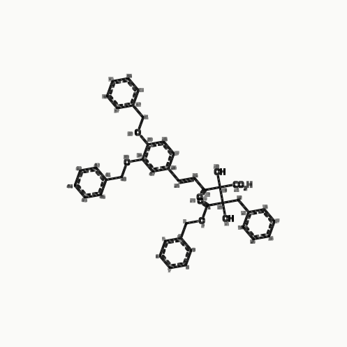 O=C(OCc1ccccc1)C(O)(Cc1ccccc1)C(O)(C(=O)O)C(=O)C=Cc1ccc(OCc2ccccc2)c(OCc2ccccc2)c1